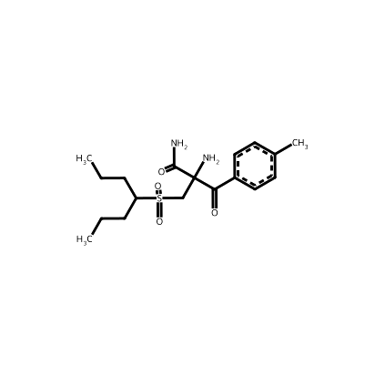 CCCC(CCC)S(=O)(=O)CC(N)(C(N)=O)C(=O)c1ccc(C)cc1